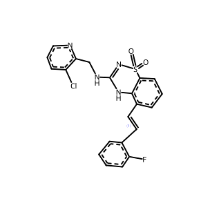 O=S1(=O)N=C(NCc2ncccc2Cl)Nc2c(/C=C/c3ccccc3F)cccc21